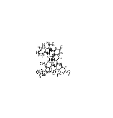 COc1cc(F)c2c(=O)n(-c3ccc(Cl)c4c(NS(C)(=O)=O)nn(C)c34)c([C@H](Cc3cc(F)cc(F)c3)NC(=O)Cn3nc(C(F)F)c4c3C(F)(F)[C@@H]3C[C@H]43)nc2c1